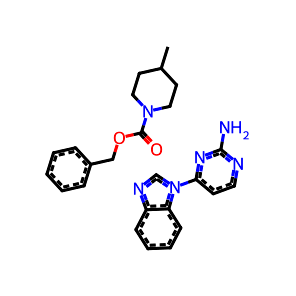 CC1CCN(C(=O)OCc2ccccc2)CC1.Nc1nccc(-n2cnc3ccccc32)n1